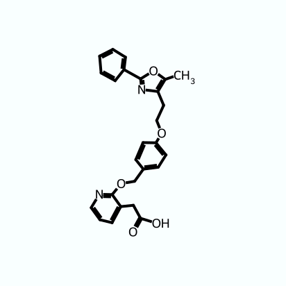 Cc1oc(-c2ccccc2)nc1CCOc1ccc(COc2ncccc2CC(=O)O)cc1